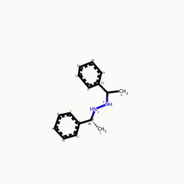 CC(NN[C@H](C)c1ccccc1)c1ccccc1